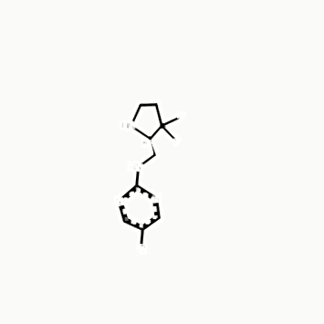 FC1(F)CCN[C@@H]1CNc1ncc(Cl)cn1